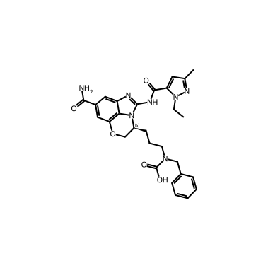 CCn1nc(C)cc1C(=O)Nc1nc2cc(C(N)=O)cc3c2n1[C@@H](CCCN(Cc1ccccc1)C(=O)O)CO3